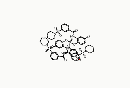 O=C(Nc1cc(Cl)ccc1OP(=O)(Oc1ccc(Cl)cc1NC(=O)c1cccc(S(=O)(=O)N2CCCCC2)c1)Oc1ccc(Cl)cc1NC(=O)c1cccc(S(=O)(=O)N2CCCCC2)c1)c1cccc(S(=O)(=O)N2CCCCC2)c1